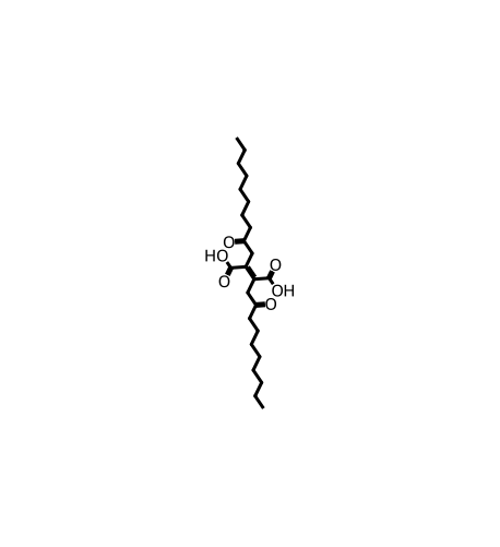 CCCCCCCCC(=O)C/C(C(=O)O)=C(/CC(=O)CCCCCCCC)C(=O)O